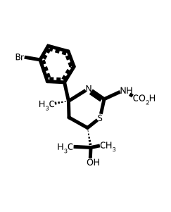 CC(C)(O)[C@@H]1C[C@@](C)(c2cccc(Br)c2)N=C(NC(=O)O)S1